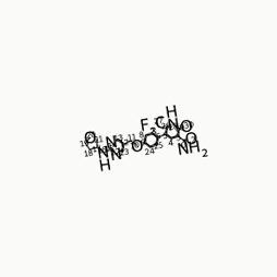 NC(=O)c1cc(-c2ccc(OCc3cnc(NC4CCOC4)nc3)cc2)c(C(F)(F)F)[nH]c1=O